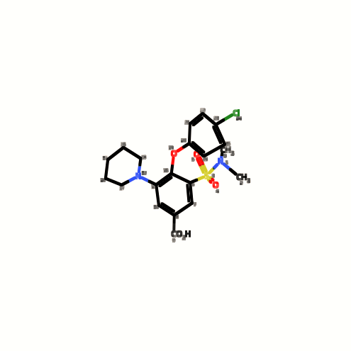 CN(C)S(=O)(=O)c1cc(C(=O)O)cc(N2CCCCC2)c1Oc1ccc(Cl)cc1